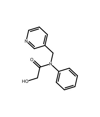 O=C(CO)N(Cc1cccnc1)c1ccccc1